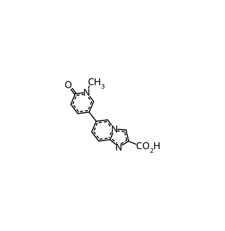 Cn1cc(-c2ccc3nc(C(=O)O)cn3c2)ccc1=O